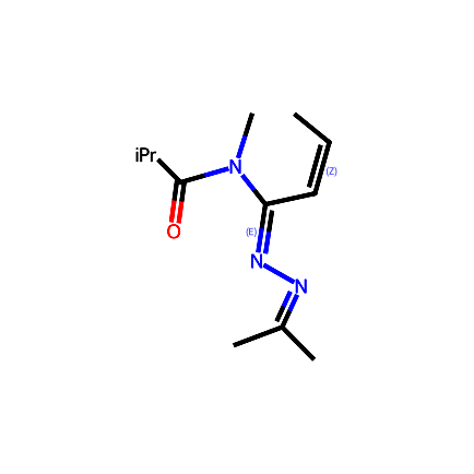 C/C=C\C(=N/N=C(C)C)N(C)C(=O)C(C)C